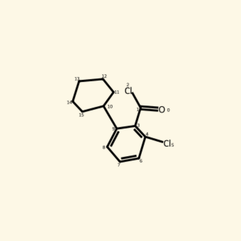 O=C(Cl)c1c(Cl)cccc1C1CCCCC1